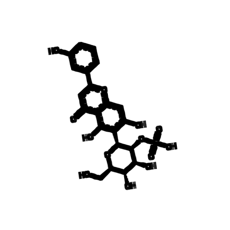 O=c1cc(-c2cccc(O)c2)oc2cc(O)c([C@@H]3O[C@H](CO)[C@@H](O)[C@H](O)[C@@H]3OS(=O)(=O)O)c(O)c12